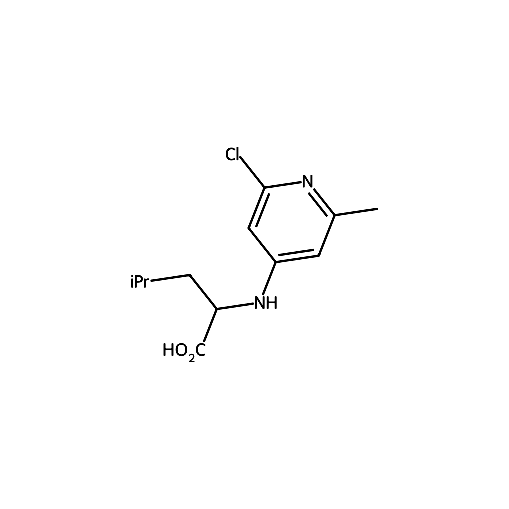 Cc1cc(NC(CC(C)C)C(=O)O)cc(Cl)n1